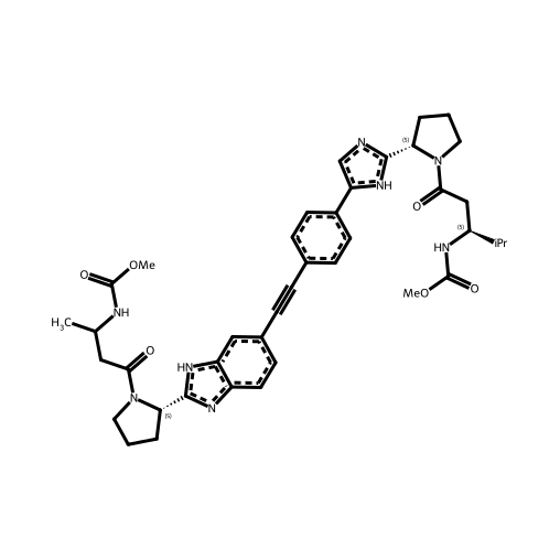 COC(=O)NC(C)CC(=O)N1CCC[C@H]1c1nc2ccc(C#Cc3ccc(-c4cnc([C@@H]5CCCN5C(=O)C[C@H](NC(=O)OC)C(C)C)[nH]4)cc3)cc2[nH]1